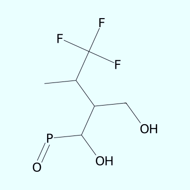 CC(C(CO)C(O)P=O)C(F)(F)F